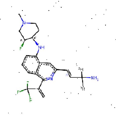 [2H]C([2H])(N)/C=C/c1cc2c(N[C@@H]3CCN(C)C[C@@H]3F)cccc2c(C(=C)C(F)(F)F)n1